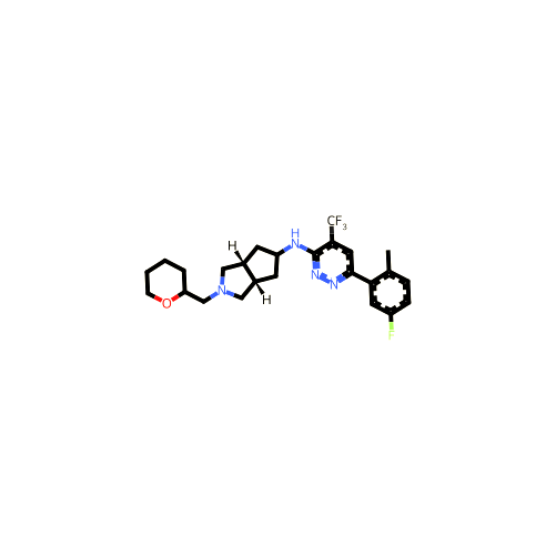 Cc1ccc(F)cc1-c1cc(C(F)(F)F)c(NC2C[C@@H]3CN(CC4CCCCO4)C[C@@H]3C2)nn1